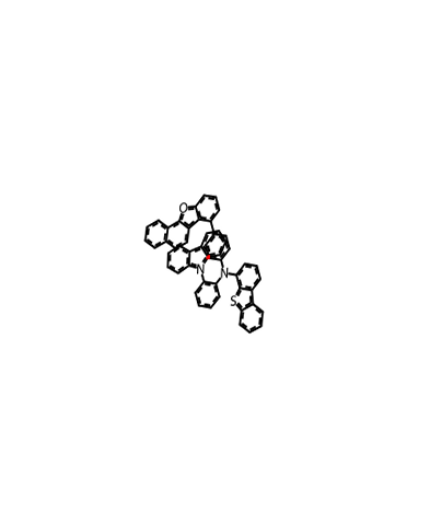 c1ccc(-n2c3ccccc3c3ccccc32)c(N(c2ccc(-c3cccc4oc5c6ccccc6ccc5c34)cc2)c2cccc3c2sc2ccccc23)c1